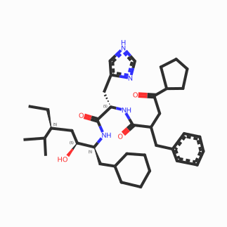 CC[C@@H](C[C@H](O)[C@H](CC1CCCCC1)NC(=O)[C@H](Cc1c[nH]cn1)NC(=O)C(CC(=O)C1CCCC1)Cc1ccccc1)C(C)C